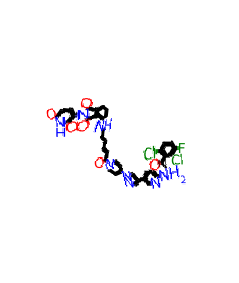 C[C@@H](Oc1cc(-c2cnn(C3CCN(C(=O)CCCCCNc4cccc5c4C(=O)N(C4CCC(=O)NC4=O)C5=O)CC3)c2)cnc1N)c1c(Cl)ccc(F)c1Cl